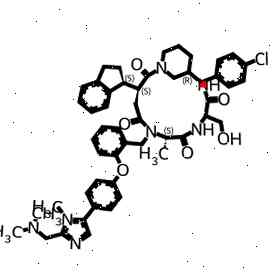 C[C@H]1C(=O)NC(CO)C(=O)N[C@@]2(Cc3ccc(Cl)cc3)CCCN(C2)C(=O)[C@H]([C@@H]2CCc3ccccc32)CC(=O)N1Cc1ccccc1Oc1ccc(-c2cnc(CN(C)C)n2C)cc1